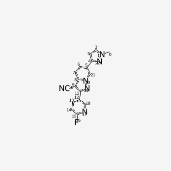 Cn1ccc(-c2ccc3c(C#N)c(-c4ccc(F)nc4)nn3c2)n1